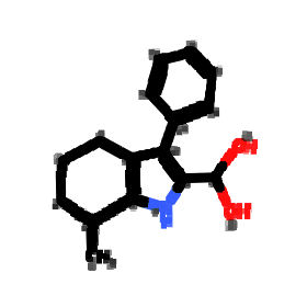 CC1CCCc2c1[nH]c(C(O)O)c2-c1ccccc1